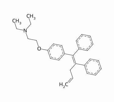 C=CCC(=C(c1ccccc1)c1ccc(OCCN(CC)CC)cc1)c1ccccc1